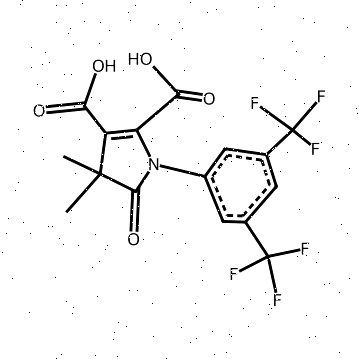 CC1(C)C(=O)N(c2cc(C(F)(F)F)cc(C(F)(F)F)c2)C(C(=O)O)=C1C(=O)O